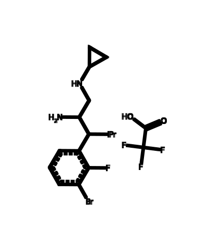 CC(C)C(c1cccc(Br)c1F)C(N)CNC1CC1.O=C(O)C(F)(F)F